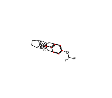 O=S(=O)(c1ccc(OC(F)F)cc1)N1C2CCC1CC(N1C3CCCC1CC(F)(F)C3)C2